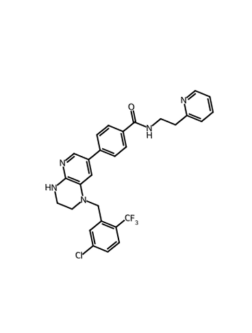 O=C(NCCc1ccccn1)c1ccc(-c2cnc3c(c2)N(Cc2cc(Cl)ccc2C(F)(F)F)CCN3)cc1